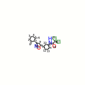 Cc1cccc(C)c1-c1cc(-c2cccc(NC(=O)C(Cl)Cl)c2)on1